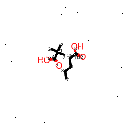 CC(C)(C)C(=O)O.CCCCC(=O)O